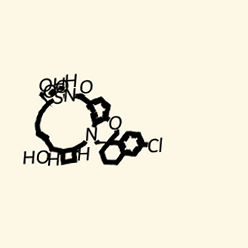 O=C1NS(=O)(=O)[C@H](CO)CC/C=C/[C@H](O)[C@@H]2CC[C@H]2CN2C[C@@]3(CCCc4cc(Cl)ccc43)COc3ccc1cc32